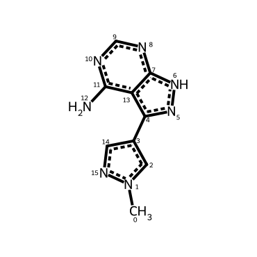 Cn1cc(-c2n[nH]c3ncnc(N)c23)cn1